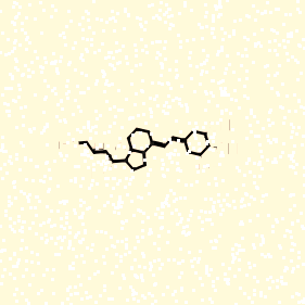 CC(C)CCC[C@@H](C)C1CCC2/C(=C/C=C3/C[C@@H](C)[C@@H](C)[C@H](O)C3)CCC[C@@]21C